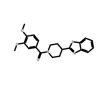 COc1ccc(C(=O)N2CCC(c3nc4ccccc4s3)CC2)cc1OC